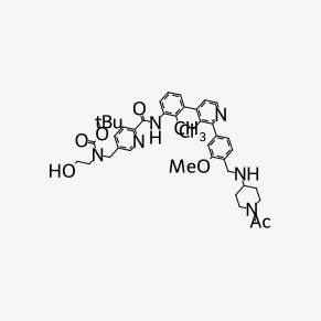 COc1cc(-c2nccc(-c3cccc(NC(=O)c4ccc(CN(CCO)C(=O)OC(C)(C)C)cn4)c3C)c2Cl)ccc1CNC1CCN(C(C)=O)CC1